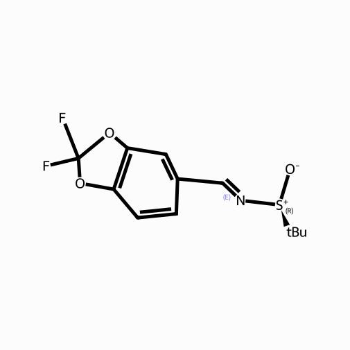 CC(C)(C)[S@+]([O-])/N=C/c1ccc2c(c1)OC(F)(F)O2